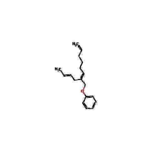 C=CCCC/C=C(\C/C=C/C)COc1ccccc1